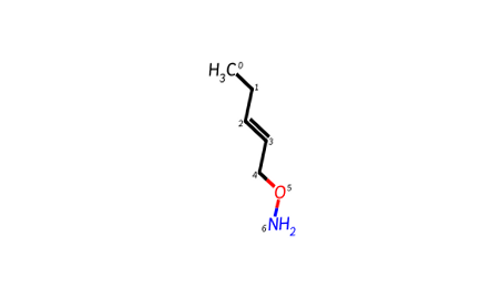 CCC=CCON